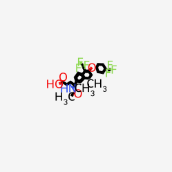 CC(=O)NC(C)(CCC(=O)O)c1ccc2c(c1)C(C)CC(O[C@H]1CC[C@@H](C(F)(F)F)CC1)=C2C(F)(F)F